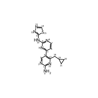 Nc1ncc(-c2ccnc(Nc3nncs3)n2)c(CC2CC2)n1